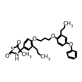 CCCc1cc(Oc2ccccc2)ccc1OCCCOc1ccc(C2(C)NC(=O)SC2=O)cc1CCC